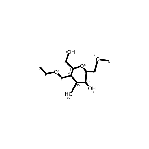 CCOCC1C(CO)OC(COC)C(O)C1O